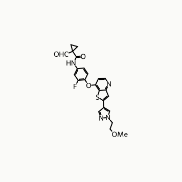 COCCn1cc(-c2cc3nccc(Oc4ccc(NC(=O)C5(C=O)CC5)cc4F)c3s2)cn1